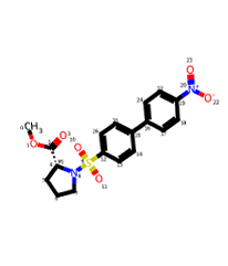 COC(=O)[C@H]1CCCN1S(=O)(=O)c1ccc(-c2ccc([N+](=O)[O-])cc2)cc1